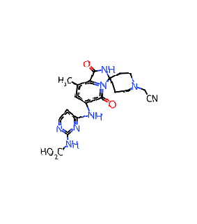 Cc1cc(Nc2ccnc(NC(=O)O)n2)c(=O)n2c1C(=O)NC21CCN(CC#N)CC1